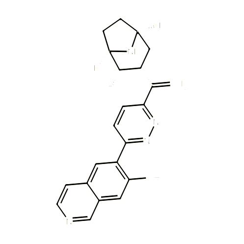 C=C(c1ccc(-c2cc3ccncc3cc2O)nn1)[C@H]1C[C@@H]2CC[C@@H](N2)[C@H]1F